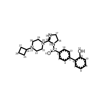 [O-][S+](c1ccc(-c2ccccc2O)cc1)N1CCN=C1N1CCN(C2CCC2)CC1